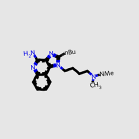 CCCCc1nc2c(N)nc3ccccc3c2n1CCCCN(C)NC